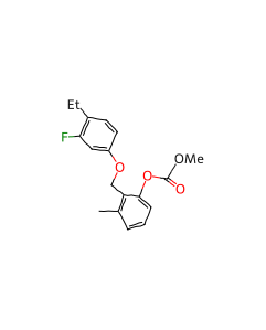 CCc1ccc(OCc2c(C)cccc2OC(=O)OC)cc1F